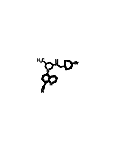 C[C@H]1C[C@@H](NCc2ccc(Br)cc2)CN(c2ccc(C#N)c3ncccc23)C1